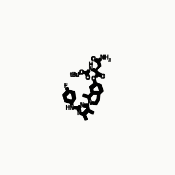 Cc1nc(Nc2ccc(F)cc2)nc(N2CCc3ccc(OC(=O)[C@H](CC(N)=O)NC(=O)OC(C)(C)C)cc3C2C)c1C